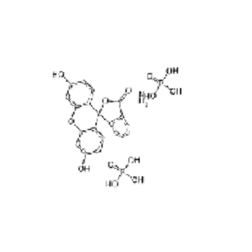 N.O=C1OC2(c3ccc(O)cc3Oc3cc(O)ccc32)c2ccccc21.O=P(O)(O)O.O=P(O)(O)O